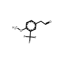 COc1ccc(CC=O)cc1C(F)(F)F